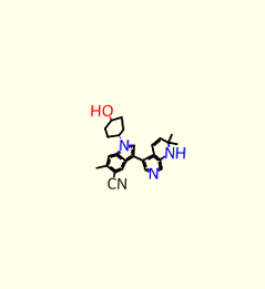 Cc1cc2c(cc1C#N)c(-c1cncc3c1C=CC(C)(C)N3)cn2[C@H]1CC[C@H](O)CC1